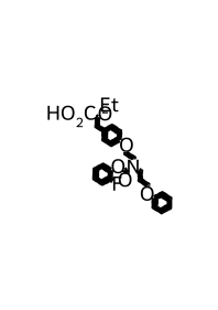 CCOC(Cc1ccc(OCCN(CCCOc2ccccc2)C(=O)Oc2ccccc2F)cc1)C(=O)O